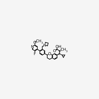 COc1cc(-c2ccc(C3CCc4ccc([C@H](C5CC5)[C@H](C)C(=O)O)cc4O3)cc2CN2CCC2)c(F)cn1